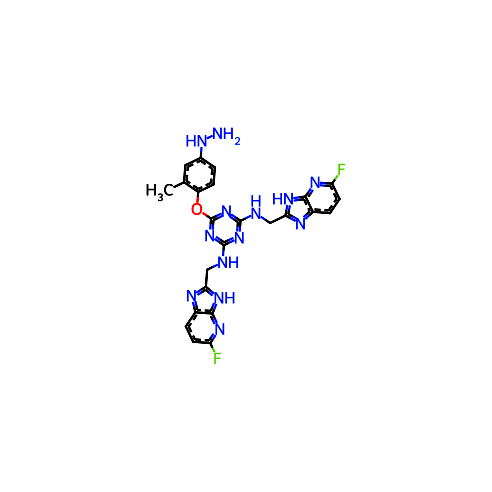 Cc1cc(NN)ccc1Oc1nc(NCc2nc3ccc(F)nc3[nH]2)nc(NCc2nc3ccc(F)nc3[nH]2)n1